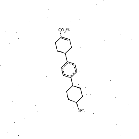 CCCC1CCC(c2ccc(C3CC=C(C(=O)OCC)CC3)cc2)CC1